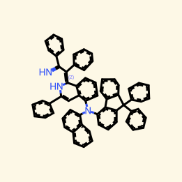 N=C(/C(=C1\NC(c2ccccc2)=Cc2c1cccc2N(c1cccc2c1-c1ccccc1C2(c1ccccc1)c1ccccc1)c1cccc2ccccc12)c1ccccc1)c1ccccc1